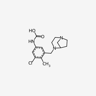 Cc1c(Cl)cc(NC(=O)O)cc1CN1CCN2CCC1C2